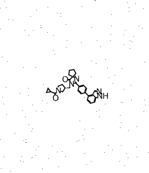 O=C(C1CC1)N1CC[C@@H](CN2C(=O)C3(CCCC3)N=C2c2ccc(-c3cccc4[nH]ncc34)cc2)C1